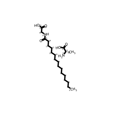 CCCCCCCCCCCCCCCC(=O)NCC(=O)O.C[C@H](N)C(=O)O